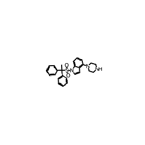 CC(c1ccccc1)(c1ccccc1)S(=O)(=O)n1ccc2c(N3CCNCC3)cccc21